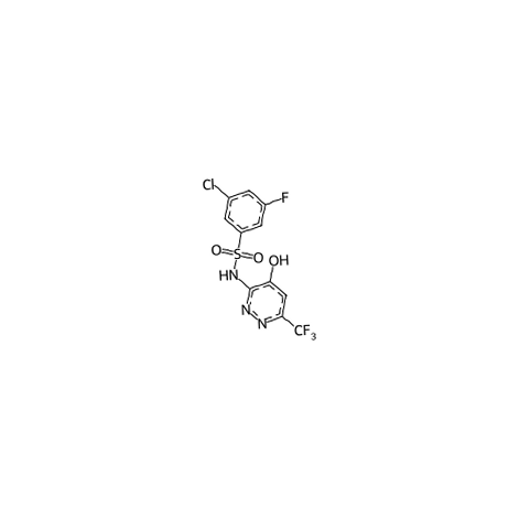 O=S(=O)(Nc1nnc(C(F)(F)F)cc1O)c1cc(F)cc(Cl)c1